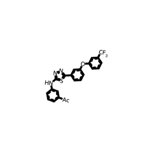 CC(=O)c1cccc(Nc2nnc(-c3cccc(Oc4cccc(C(F)(F)F)c4)c3)s2)c1